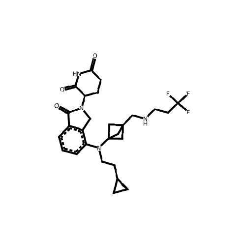 O=C1CCC(N2Cc3c(cccc3N(CCC3CC3)C34CC(CNCCC(F)(F)F)(C3)C4)C2=O)C(=O)N1